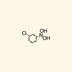 ON(O)c1cccc(Cl)c1